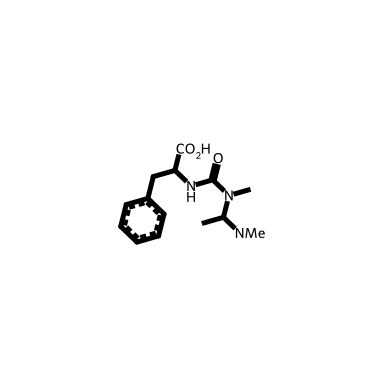 CNC(C)N(C)C(=O)NC(Cc1ccccc1)C(=O)O